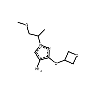 COCC(C)n1cc(N)c(OC2COC2)n1